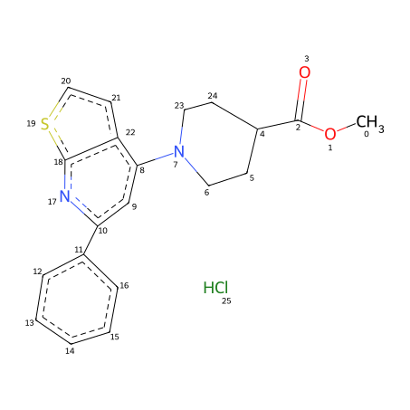 COC(=O)C1CCN(c2cc(-c3ccccc3)nc3sccc23)CC1.Cl